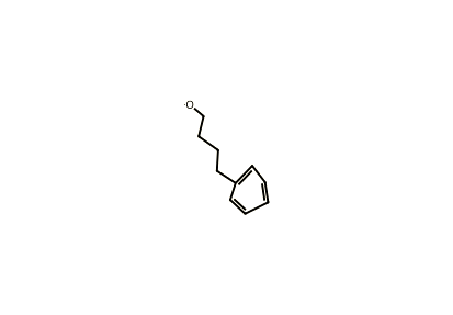 [O]CCCCc1ccccc1